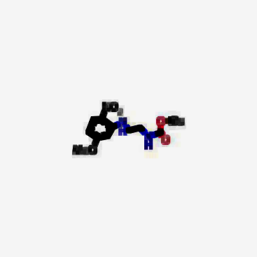 COc1ccc([N+](=O)[O-])c(NCCNC(=O)OC(C)(C)C)c1